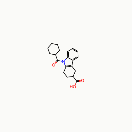 O=C(O)C1CCc2c(c3ccccc3n2C(=O)C2CCCCC2)C1